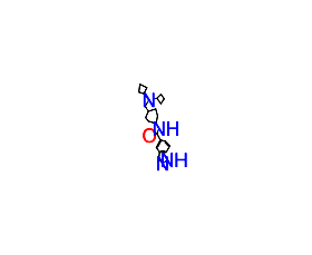 O=C(N[C@H]1CC[C@H](CN(C2CCC2)C2CCC2)CC1)c1ccc2[nH]ncc2c1